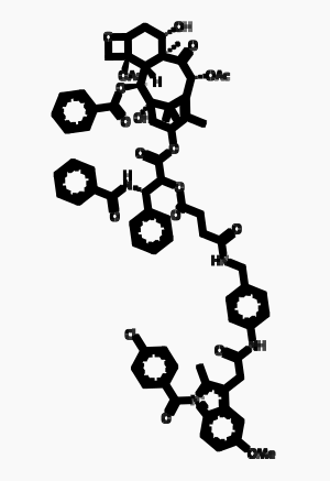 COc1ccc2c(c1)c(CC(=O)Nc1ccc(CNC(=O)CCC(=O)OC(C(=O)OC3C[C@@]4(O)[C@@H](OC(=O)c5ccccc5)[C@H]5[C@](C)(C(=O)[C@H](OC(C)=O)C(=C3C)C4(C)C)[C@@H](O)CC3OC[C@]35OC(C)=O)[C@@H](NC(=O)c3ccccc3)c3ccccc3)cc1)c(C)n2C(=O)c1ccc(Cl)cc1